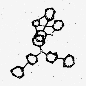 c1ccc(-c2ccc(N(c3ccc(-c4ccccc4)cc3)c3ccc(-c4cccc5c4C4(c6ccccc6Sc6ccccc64)c4ccccc4-5)cc3)cc2)cc1